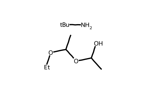 CC(C)(C)N.CCOC(C)OC(C)O